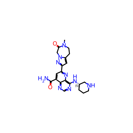 CN1CCc2cc(-c3cc(C(N)=O)c4ncnc(N[C@H]5CCCNC5)c4n3)nn2CC1=O